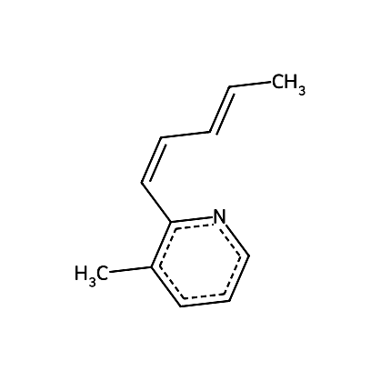 CC=C/C=C\c1ncccc1C